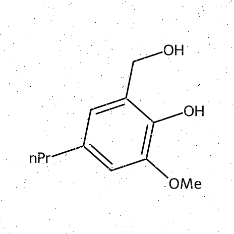 CCCc1cc(CO)c(O)c(OC)c1